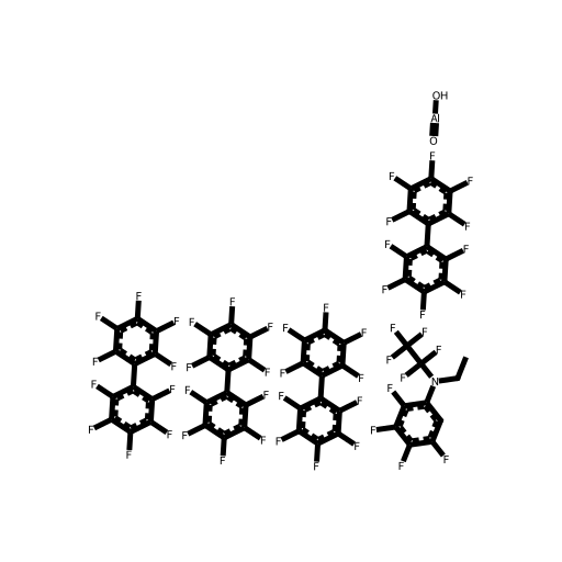 CCN(c1cc(F)c(F)c(F)c1F)C(F)(F)C(F)(F)F.Fc1c(F)c(F)c(-c2c(F)c(F)c(F)c(F)c2F)c(F)c1F.Fc1c(F)c(F)c(-c2c(F)c(F)c(F)c(F)c2F)c(F)c1F.Fc1c(F)c(F)c(-c2c(F)c(F)c(F)c(F)c2F)c(F)c1F.Fc1c(F)c(F)c(-c2c(F)c(F)c(F)c(F)c2F)c(F)c1F.[O]=[Al][OH]